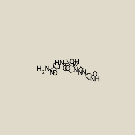 C[C@](O)(C(=O)Nc1ccc2c(N)noc2c1)[C@H]1OCCN(c2ccn(-c3cc[nH]c(=O)c3)n2)C1=O